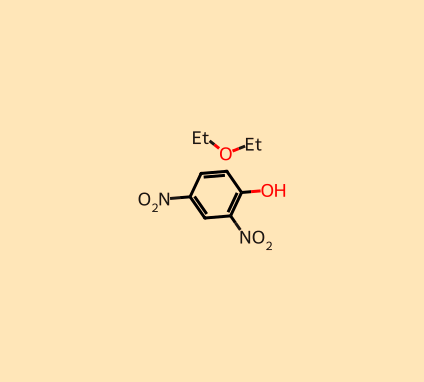 CCOCC.O=[N+]([O-])c1ccc(O)c([N+](=O)[O-])c1